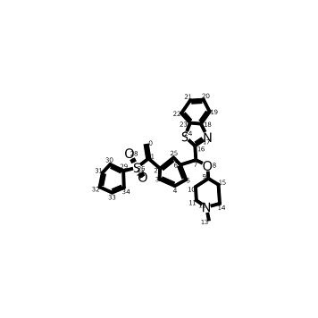 C=C(c1cccc(C(OC2CCN(C)CC2)c2nc3ccccc3s2)c1)S(=O)(=O)c1ccccc1